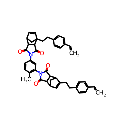 C=Cc1ccc(CCC2=CC3CC2C2C(=O)N(c4cc(N5C(=O)C6C7C=CC(CCc8ccc(C=C)cc8)(C7)C6C5=O)ccc4C)C(=O)C32)cc1